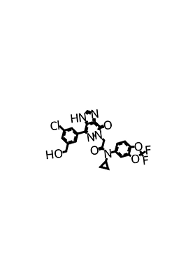 O=C(Cn1nc(-c2cc(Cl)cc(CO)c2)c2[nH]cnc2c1=O)N(c1ccc2c(c1)OC(F)(F)O2)C1CC1